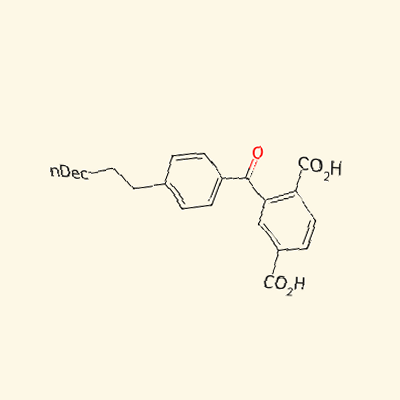 CCCCCCCCCCCCc1ccc(C(=O)c2cc(C(=O)O)ccc2C(=O)O)cc1